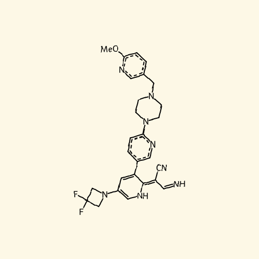 COc1ccc(CN2CCN(c3ccc(C4=CC(N5CC(F)(F)C5)=CN/C4=C(/C#N)C=N)cn3)CC2)cn1